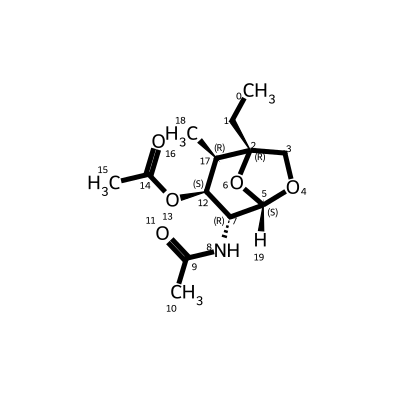 CC[C@@]12CO[C@@H](O1)[C@H](NC(C)=O)[C@@H](OC(C)=O)[C@H]2C